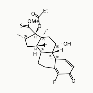 CCC(=O)O[C@]1(C(=S)OC)[C@@H](C)C[C@H]2[C@@H]3CCC4=C(F)C(=O)C=C[C@]4(C)[C@H]3[C@@H](O)C[C@@]21C